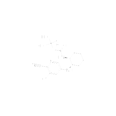 CC(C)(C)OC(=O)N[C@H]1CCCC[C@H]1Nc1cnc(C#N)c(Cl)c1